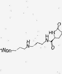 CCCCCCCCCCCCNCCCNC(=O)[C@@H]1CCC(=O)N1